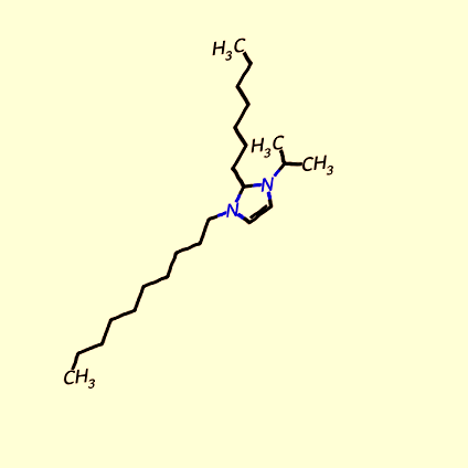 CCCCCCCCCCN1C=CN(C(C)C)C1CCCCCCC